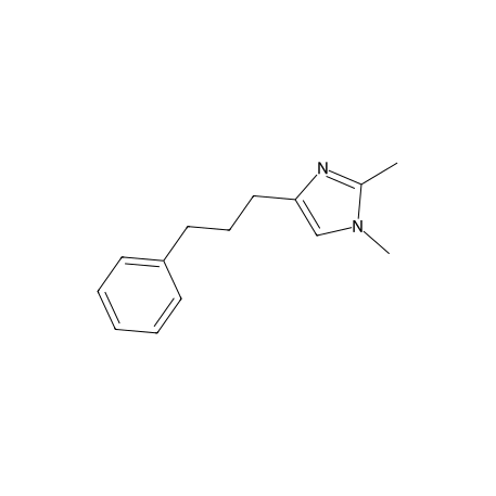 Cc1nc(CCCc2ccccc2)cn1C